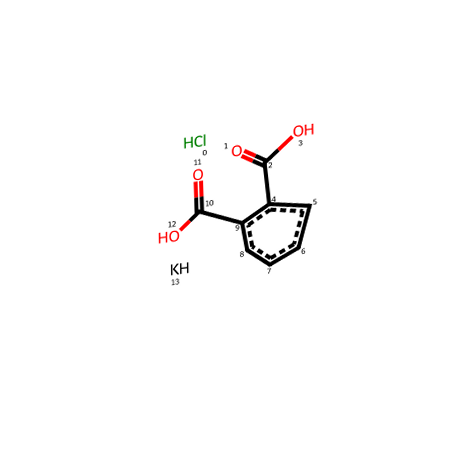 Cl.O=C(O)c1ccccc1C(=O)O.[KH]